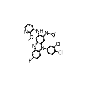 COc1ncccc1Nc1cc2nc3cc(F)ccc3n(-c3ccc(Cl)c(Cl)c3)c-2c/c1=N\C1CC1